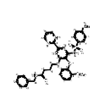 COc1ccccc1Oc1c(NS(=O)(=O)c2ccc(C(C)(C)C)cc2)nc(-c2ncccn2)nc1OCCCC(=O)NCc1ccccc1